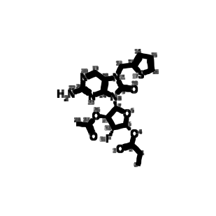 CCC(=O)O[C@H]1O[C@@H](n2c(=O)n(Cc3cccs3)c3cnc(N)nc32)[C@H](OC(C)=O)[C@H]1F